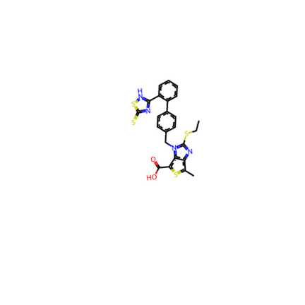 CCSc1nc2c(C)sc(C(=O)O)c2n1Cc1ccc(-c2ccccc2-c2nc(=S)s[nH]2)cc1